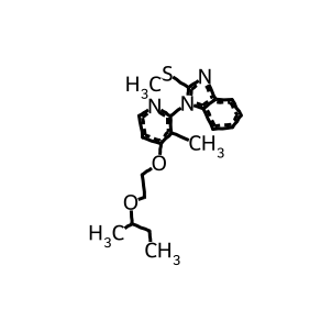 CCC(C)OCCOc1ccnc(-n2c(SC)nc3ccccc32)c1C